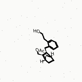 CC(=O)OC[C@H]1[C@@H](Cc2ccccc2CCO)[C@@H]2CC[C@H]1O2